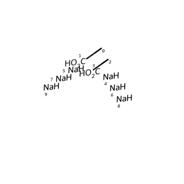 CC(=O)O.CC(=O)O.[NaH].[NaH].[NaH].[NaH].[NaH].[NaH]